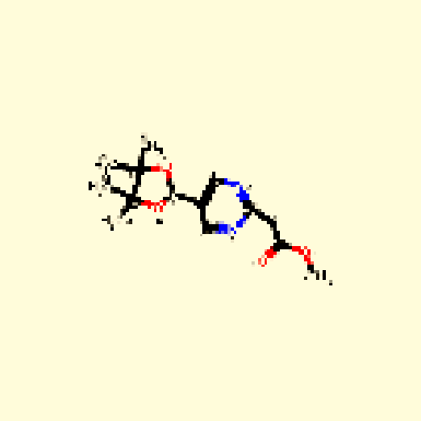 COC(=O)Cc1ncc(B2OC(C)(C)C(C)(C)O2)cn1